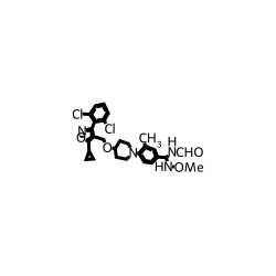 CONC(NC=O)c1ccc(N2CCC(OCc3c(-c4c(Cl)cccc4Cl)noc3C3CC3)CC2)c(C)c1